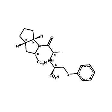 C[C@H](N[C@@H](CSc1ccccc1)C(=O)O)C(=O)N1[C@H](C(=O)O)C[C@@H]2CCC[C@@H]21